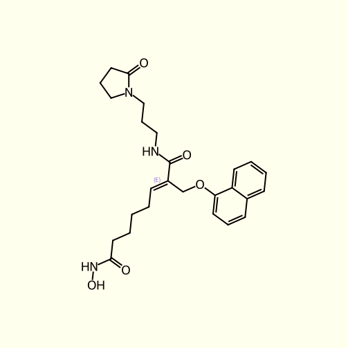 O=C(CCCC/C=C(\COc1cccc2ccccc12)C(=O)NCCCN1CCCC1=O)NO